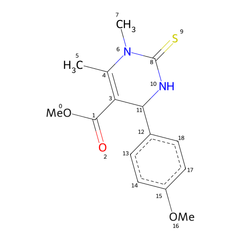 COC(=O)C1=C(C)N(C)C(=S)NC1c1ccc(OC)cc1